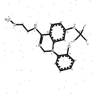 COCCNC1=NCN(c2ccccc2Cl)c2cc(OC(F)(F)F)ccc21